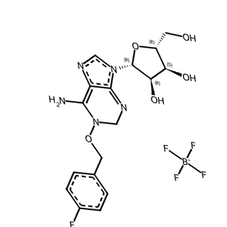 F[B-](F)(F)F.NC1=c2ncn([C@@H]3O[C@H](CO)[C@@H](O)[C@H]3O)c2=NCN1OCc1ccc(F)cc1